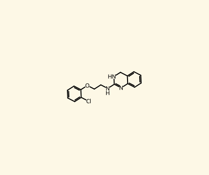 Clc1ccccc1OCCNC1=Nc2ccccc2CN1